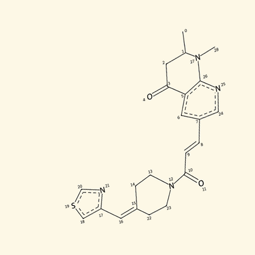 CC1CC(=O)c2cc(C=CC(=O)N3CCC(=Cc4cscn4)CC3)cnc2N1C